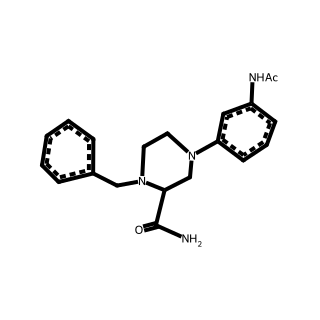 CC(=O)Nc1cccc(N2CCN(Cc3ccccc3)C(C(N)=O)C2)c1